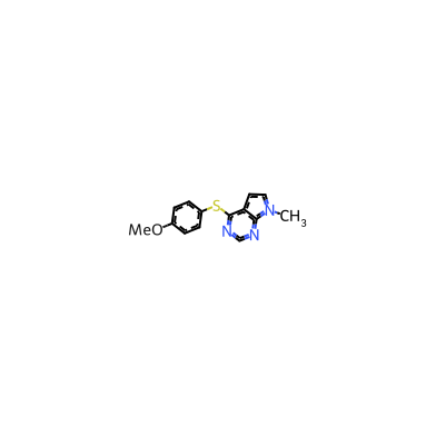 COc1ccc(Sc2ncnc3c2ccn3C)cc1